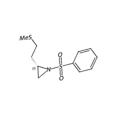 CSCC[C@H]1CN1S(=O)(=O)c1ccccc1